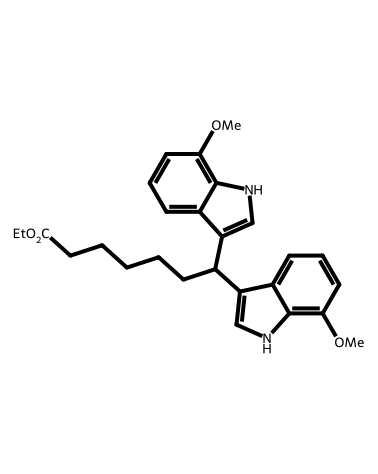 CCOC(=O)CCCCCC(c1c[nH]c2c(OC)cccc12)c1c[nH]c2c(OC)cccc12